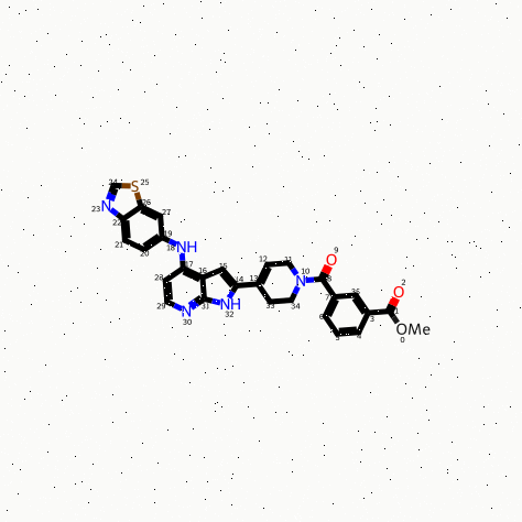 COC(=O)c1cccc(C(=O)N2CC=C(c3cc4c(Nc5ccc6ncsc6c5)ccnc4[nH]3)CC2)c1